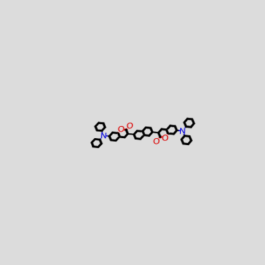 O=c1oc2cc(N(c3ccccc3)c3ccccc3)ccc2cc1-c1ccc2cc(-c3cc4ccc(N(c5ccccc5)c5ccccc5)cc4oc3=O)ccc2c1